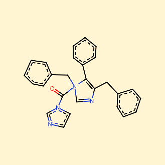 O=C(n1ccnc1)[N+]1(Cc2ccccc2)C=NC(Cc2ccccc2)=C1c1ccccc1